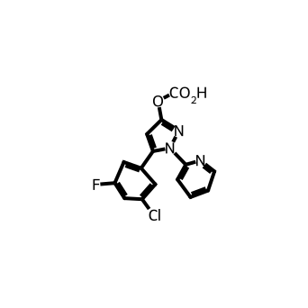 O=C(O)Oc1cc(-c2cc(F)cc(Cl)c2)n(-c2ccccn2)n1